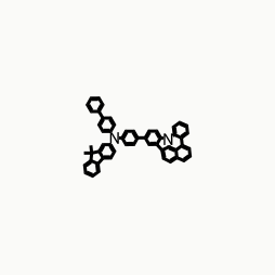 CC1(C)c2ccccc2-c2ccc(N(c3ccc(-c4ccccc4)cc3)c3ccc(-c4ccc5c(c4)c4ccc6cccc7c8ccccc8n5c4c67)cc3)cc21